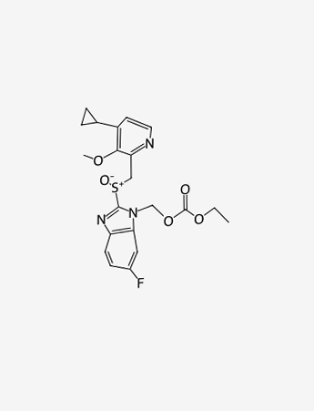 CCOC(=O)OCn1c([S+]([O-])Cc2nccc(C3CC3)c2OC)nc2ccc(F)cc21